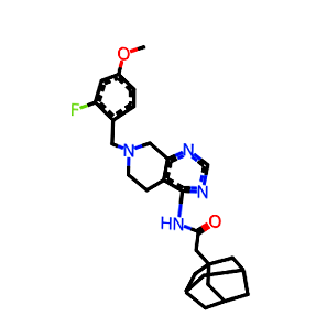 COc1ccc(CN2CCc3c(ncnc3NC(=O)CC34CC5CC(CC(C5)C3)C4)C2)c(F)c1